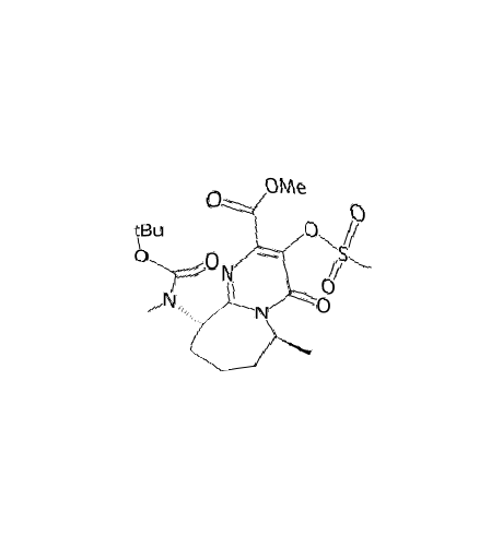 COC(=O)c1nc2n(c(=O)c1OS(C)(=O)=O)[C@@H](C)CCC[C@@H]2N(C)C(=O)OC(C)(C)C